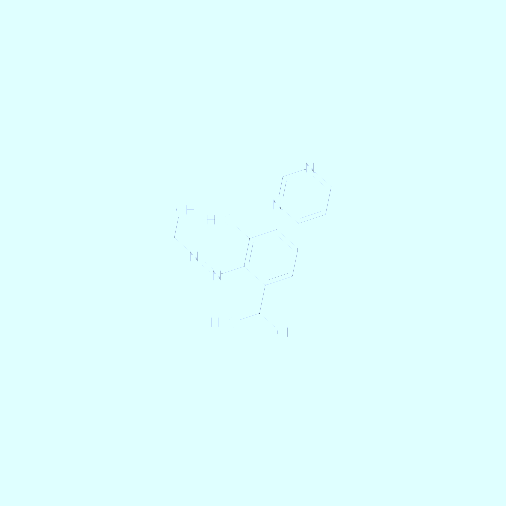 C[CH2]/[Ni]=[N]/c1c(C)cccc1C(C)C.c1cncnc1